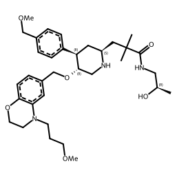 COCCCN1CCOc2ccc(CO[C@H]3CN[C@H](CC(C)(C)C(=O)NC[C@@H](C)O)C[C@@H]3c3ccc(COC)cc3)cc21